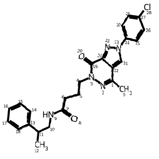 Cc1nn(CCCC(=O)NCC(C)c2ccccc2)c(=O)c2nn(-c3ccc(Cl)cc3)cc12